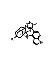 Cn1nnnc1-c1cnc2[nH]ccc2c1N[C@@H]1[C@@H]2CC3C[C@H]1CC(O)(C3)C2